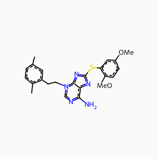 COc1ccc(OC)c(Sc2nc3c(N)ncn(CCc4cc(C)ccc4C)c-3n2)c1